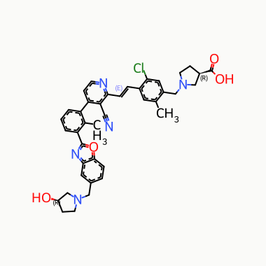 Cc1cc(/C=C/c2nccc(-c3cccc(-c4nc5cc(CN6CC[C@@H](O)C6)ccc5o4)c3C)c2C#N)c(Cl)cc1CN1CC[C@@H](C(=O)O)C1